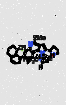 CSc1nc2c(F)c(-c3cccc4c3C(C#N)CCC4)c(C)cc2c2c1cc(C1CCCN1C(C)=O)n2[C@H]1[C@@H]2C[C@H]1N(C(=O)O)C2